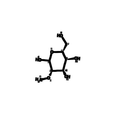 NO[C@@H]1C(O)O[C@H](CO)[C@H](O)[C@H]1O